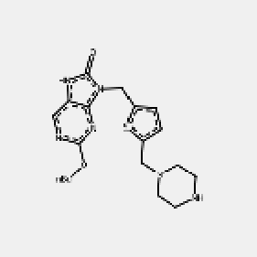 CCCCOc1ncc2[nH]c(=O)n(Cc3ccc(CN4CCNCC4)s3)c2n1